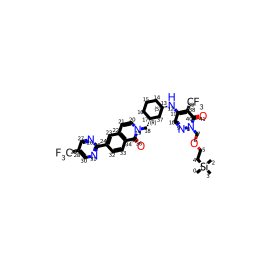 C[Si](C)(C)CCOCn1ncc(N[C@H]2CCC[C@@H](Cn3ccc4cc(-c5ncc(C(F)(F)F)cn5)ccc4c3=O)C2)c(C(F)(F)F)c1=O